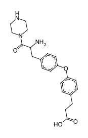 NC(Cc1ccc(Oc2ccc(CCC(=O)O)cc2)cc1)C(=O)N1CCNCC1